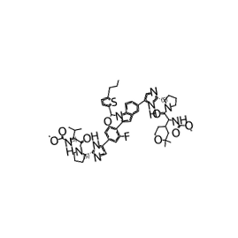 CCCc1ccc(C2Oc3cc(-c4cnc([C@@H]5CCCN5C(=O)[C@@H](NC(=O)OC)C(C)C)[nH]4)cc(F)c3-c3cc4cc(-c5cnc([C@@H]6CCCN6C(=O)C(NC(=O)OC)C6CCOC(C)(C)C6)[nH]5)ccc4n32)s1